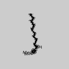 COC1=C(OC)C(=O)C(CCC(C)(O)CCC=C(C)CCC=C(C)CCC=C(C)CCC=C(C)CCC=C(C)CCC=C(C)CCC=C(C)CCC=C(C)CCC=C(C)C)=C(C)C1=O